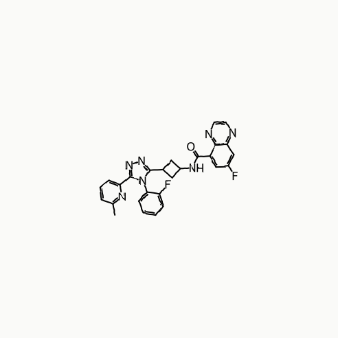 Cc1cccc(-c2nnc(C3CC(NC(=O)c4cc(F)cc5nccnc45)C3)n2-c2ccccc2F)n1